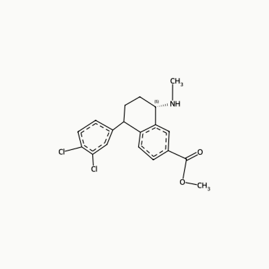 CN[C@H]1CCC(c2ccc(Cl)c(Cl)c2)c2ccc(C(=O)OC)cc21